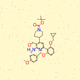 COc1ccc(COc2cccc(OCC3CC3)c2-c2cc(C3CCN(C(=O)OC(C)(C)C)CC3)c(C=O)c(N)n2)cc1